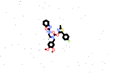 COc1ccc(CN(C(=O)Oc2nc(C)sc2-c2ccc(F)cc2)[C@H](C)CNc2nc3ccccc3o2)cc1OC